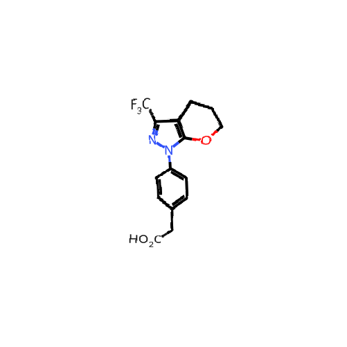 O=C(O)Cc1ccc(-n2nc(C(F)(F)F)c3c2OCCC3)cc1